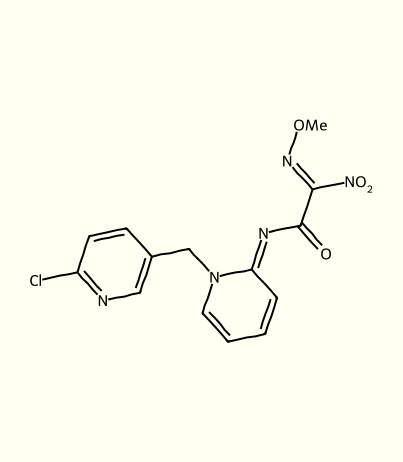 CON=C(C(=O)N=c1ccccn1Cc1ccc(Cl)nc1)[N+](=O)[O-]